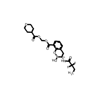 CCC(F)(F)C(=O)N[C@H]1Cc2cccc(C(=O)OCOC(=O)C3CCOCC3)c2OB1O